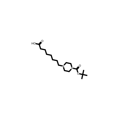 CC(C)(C)OC(=O)N1CCN(CCCCCCCC(=O)O)CC1